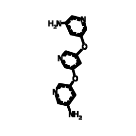 Nc1cncc(Oc2cncc(Oc3cncc(N)c3)c2)c1